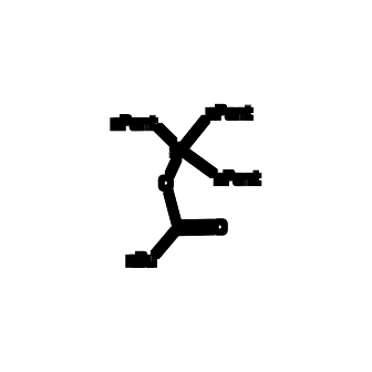 [CH2]CCCC(=O)O[Si](CCCCC)(CCCCC)CCCCC